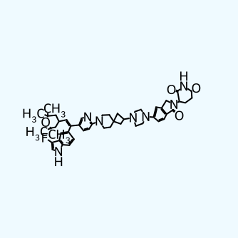 CC1(C)CC(C=C(c2ccc(N3CCC4(CC3)CC(N3CCN(c5ccc6c(c5)CN(C5CCC(=O)NC5=O)C6=O)CC3)C4)nc2)c2ccc3[nH]cc(F)c3c2)CC(C)(C)O1